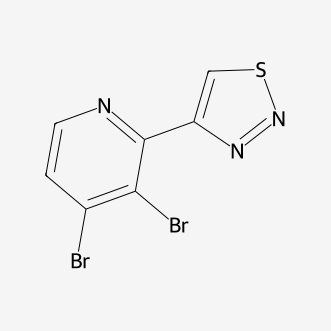 Brc1ccnc(-c2csnn2)c1Br